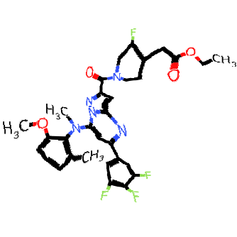 CCOC(=O)CC1CCN(C(=O)c2cc3nc(-c4cc(F)c(F)c(F)c4)cc(N(C)c4c(C)cccc4OC)n3n2)CC1F